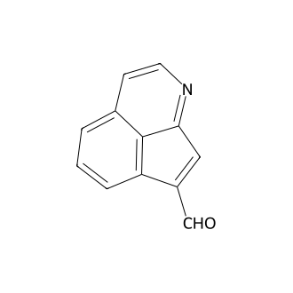 O=CC1=Cc2nccc3cccc1c23